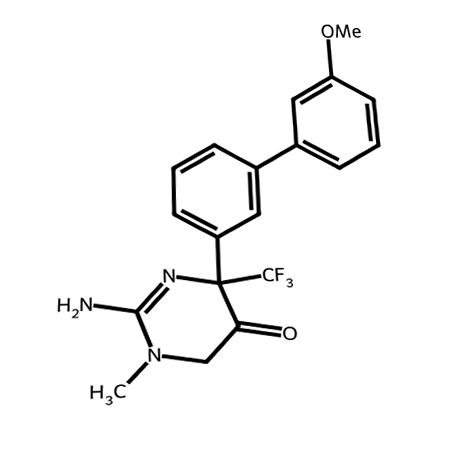 COc1cccc(-c2cccc(C3(C(F)(F)F)N=C(N)N(C)CC3=O)c2)c1